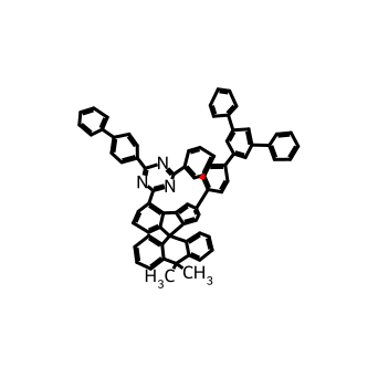 CC1(C)c2ccccc2C2(c3ccc(-c4ccc(-c5cc(-c6ccccc6)cc(-c6ccccc6)c5)cc4)cc3-c3c(-c4nc(-c5ccccc5)nc(-c5ccc(-c6ccccc6)cc5)n4)cccc32)c2ccccc21